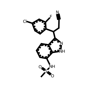 CS(=O)(=O)Nc1cccc2c(C(CC#N)c3ccc(Cl)cc3F)n[nH]c12